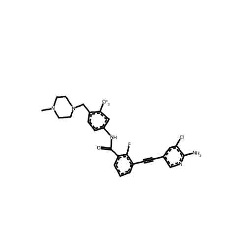 CN1CCN(Cc2ccc(NC(=O)c3cccc(C#Cc4cnc(N)c(Cl)c4)c3F)cc2C(F)(F)F)CC1